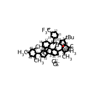 CCCC1C=C(C(C)(C)C)C=[C]1[Zr+2](=[C](c1cccc(C(F)(F)F)c1)c1cccc(C(F)(F)F)c1)[c]1c(-c2c(C)cc(C)cc2C)ccc2c1Cc1cc(-c3c(C)cc(C)cc3C)ccc1-2.[Cl-].[Cl-]